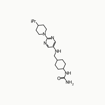 CC(C)C1CCN(c2ncc(NCC3CCC(NC(N)=O)CC3)cn2)CC1